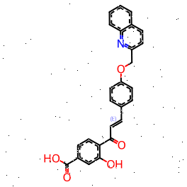 O=C(O)c1ccc(C(=O)/C=C/c2ccc(OCc3ccc4ccccc4n3)cc2)c(O)c1